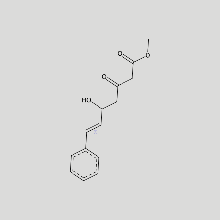 COC(=O)CC(=O)CC(O)/C=C/c1ccccc1